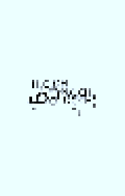 CN1C(=O)[C@@H](NC(=O)OC(C)(C)C)COc2cc3occc3cc21